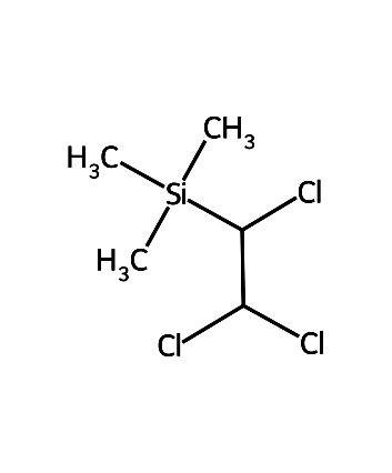 C[Si](C)(C)C(Cl)C(Cl)Cl